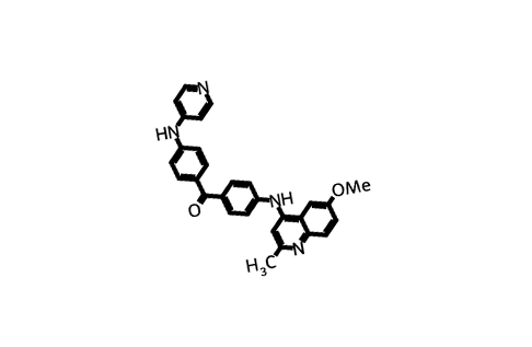 COc1ccc2nc(C)cc(Nc3ccc(C(=O)c4ccc(Nc5ccncc5)cc4)cc3)c2c1